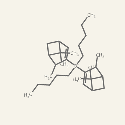 CCCCC[B-](CCCCC)(C1=CC2CC(C1C)C2(C)C)C1=CC2CC(C1C)C2(C)C